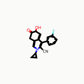 N#CC1=C(c2cccc(F)c2)C2=CC(O)C(=O)CC2=CN1C1CC1